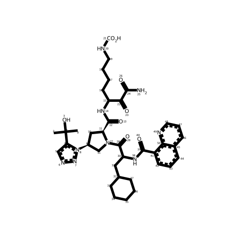 CC(C)(O)c1cnnn1[C@H]1C[C@@H](C(=O)NC(CCCCNC(=O)O)C(=O)C(N)=O)N(C(=O)C(CC2CCCCC2)NC(=O)c2cccc3cccnc23)C1